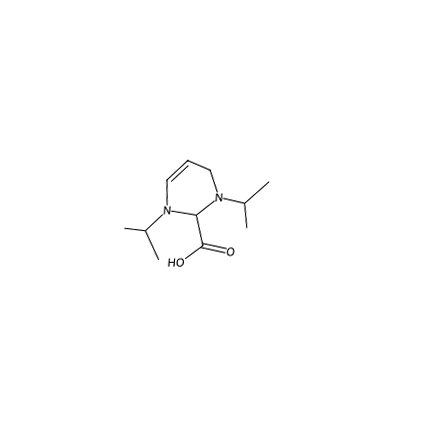 CC(C)N1C=CCN(C(C)C)C1C(=O)O